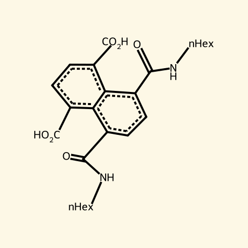 CCCCCCNC(=O)c1ccc(C(=O)NCCCCCC)c2c(C(=O)O)ccc(C(=O)O)c12